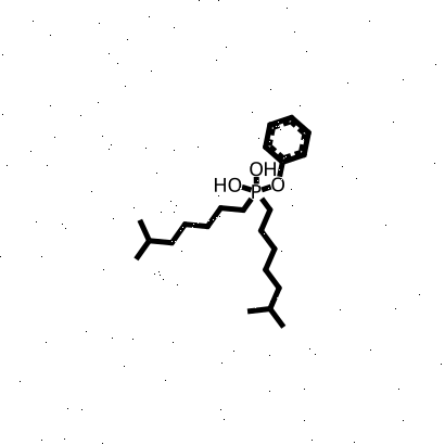 CC(C)CCCCCP(O)(O)(CCCCCC(C)C)Oc1ccccc1